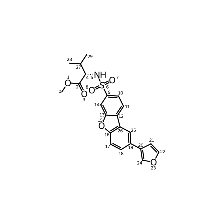 COC(=O)[C@@H](NS(=O)(=O)c1ccc2c(c1)oc1ccc(-c3ccoc3)cc12)C(C)C